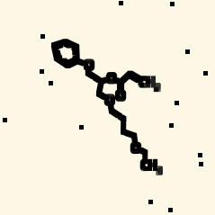 C=CC(=O)OC(COCCCCOCC)COc1ccccc1